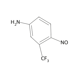 Nc1ccc(N=O)c(C(F)(F)F)c1